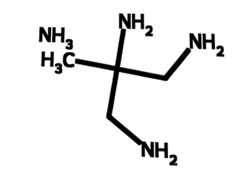 CC(N)(CN)CN.N